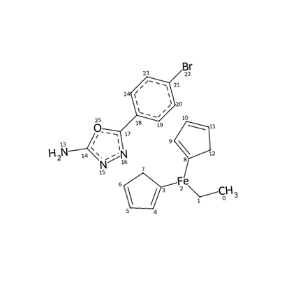 C[CH2][Fe]([C]1=CC=CC1)[C]1=CC=CC1.Nc1nnc(-c2ccc(Br)cc2)o1